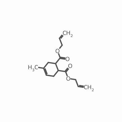 C=CCOC(=O)C1CC=C(C)CC1C(=O)OCC=C